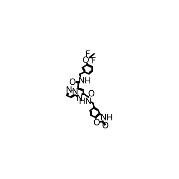 CC(F)(F)Oc1cccc(CNC(=O)c2cc(C(=O)NCc3ccc4oc(=O)[nH]c4c3)nc3ccnn23)c1